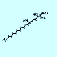 CCCCCCCCCCCCC/C=C/[C@@H](O)[C@@H](N)CO.N